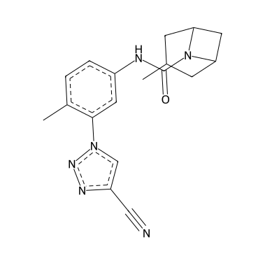 Cc1ccc(NC(=O)N2C3CC(C)CC2C3)cc1-n1cc(C#N)nn1